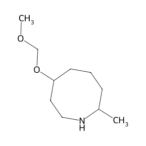 COCOC1CCCC(C)NCC1